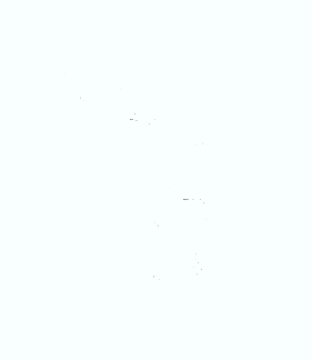 Cn1ncc2c(=O)n(-c3ccccc3)c(SCc3cccc(C(=O)C(F)(F)F)c3)nc21